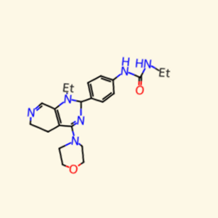 CCNC(=O)Nc1ccc(C2N=C(N3CCOCC3)C3=C(C=NCC3)N2CC)cc1